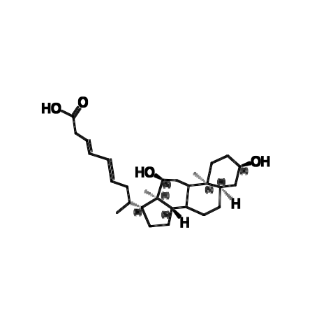 CC(CC=CC=CCC(=O)O)[C@H]1CC[C@H]2C3CC[C@@H]4C[C@H](O)CC[C@]4(C)C3C[C@H](O)[C@]12C